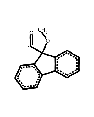 COC1([C]=O)c2ccccc2-c2ccccc21